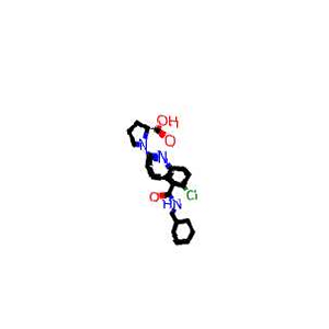 O=C(NCC1CCCCC1)c1c(Cl)ccc2nc(N3CCC[C@@H]3C(=O)O)ccc12